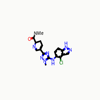 CNC(=O)C1CC=C(c2nc(Nc3ccc4[nH]ncc4c3Cl)n(C)n2)C=N1